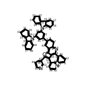 c1ccc(-c2nc3ccc(-c4cc(-n5c6ccccc6c6ccccc65)cc(-n5c6ccccc6c6ccccc65)c4)cc3c3oc(-c4cccnc4)c(-c4cccnc4)c23)cc1